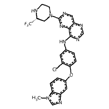 Cn1cnc2cc(Oc3ccc(Nc4ncnc5cnc(N6CCN[C@@H](C(F)(F)F)C6)nc45)cc3Cl)ccc21